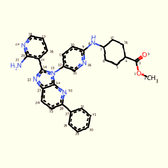 COC(=O)C1CCC(Nc2ccc(-n3c(-c4cccnc4N)nc4ccc(-c5ccccc5)nc43)cn2)CC1